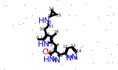 Cc1[nH]c(C=C2C(=O)NN=C2c2cccnn2)c(C)c1CCNC1CC1